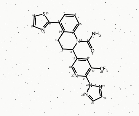 NC(=O)N1c2cccc(-c3nccs3)c2CCC1c1cnc(-n2nccn2)c(C(F)(F)F)c1